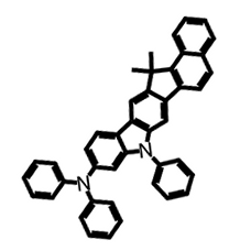 CC1(C)c2cc3c4ccc(N(c5ccccc5)c5ccccc5)cc4n(-c4ccccc4)c3cc2-c2ccc3ccccc3c21